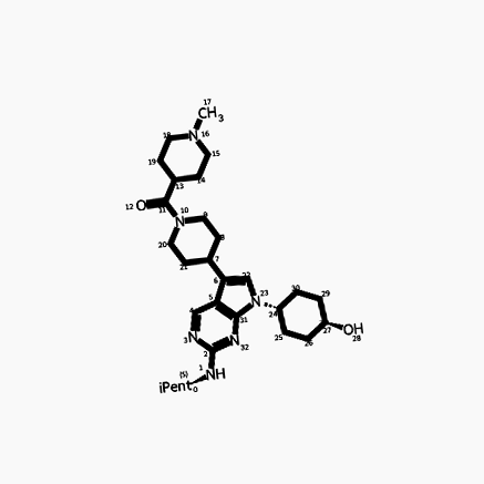 CCC[C@H](C)Nc1ncc2c(C3CCN(C(=O)C4CCN(C)CC4)CC3)cn([C@H]3CC[C@H](O)CC3)c2n1